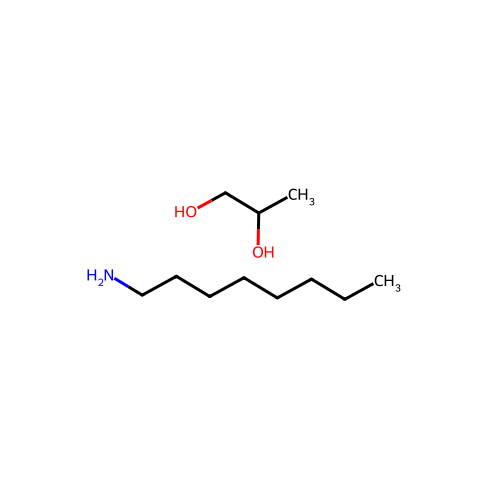 CC(O)CO.CCCCCCCCN